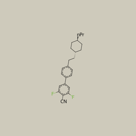 CCC[C@H]1CC[C@H](CCc2ccc(-c3cc(F)c(C#N)c(F)c3)cc2)CC1